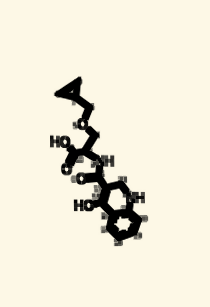 O=C(NC(COCC1CC1)C(=O)O)C1=C(O)c2ccccc2NC1